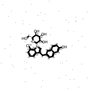 OC[C@H]1O[C@@H](n2cc(Cc3ccc4cc(O)ccc4c3)c3cccc(Cl)c32)[C@H](O)[C@@H](O)[C@@H]1O